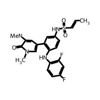 C/C=C/S(=O)(=O)Nc1ccc(Nc2ccc(F)cc2F)c(-c2cc(NC)c(=O)n(C)c2)c1